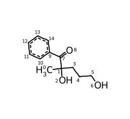 CC(O)(CCCO)C(=O)c1ccccc1